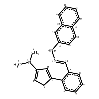 CN(C)C1=CCC(c2ccccc2C=NNc2ccc3ccccc3c2)=C1